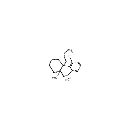 Cl.NCCC12CCCCC1(O)CCc1cccc(Cl)c12